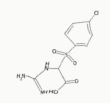 N=C(N)NC(C(=O)O)S(=O)(=O)c1ccc(Cl)cc1